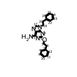 Nc1nc(OCCc2ccccc2)nc2c1ncn2CCc1ccccc1